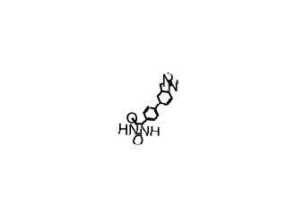 CN1CC2CC(c3ccc(C4NC(=O)NC4=O)cc3)C=CC2=N1